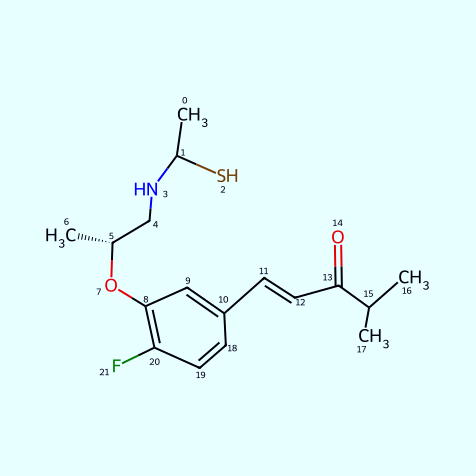 CC(S)NC[C@@H](C)Oc1cc(/C=C/C(=O)C(C)C)ccc1F